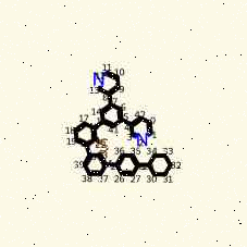 c1cncc(-c2cc(-c3cccnc3)cc(-c3cccc4c3sc3c(-c5ccc(C6CCCCC6)cc5)cccc34)c2)c1